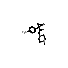 [2H]C1CC1(C(=O)CN1CCN(C)CC1)c1ccc(N)cc1